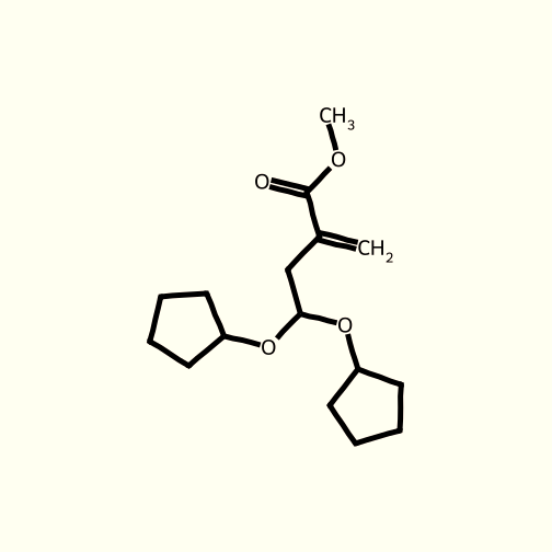 C=C(CC(OC1CCCC1)OC1CCCC1)C(=O)OC